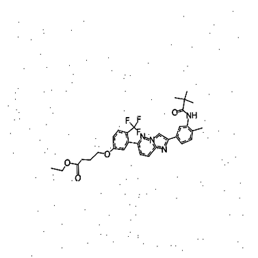 CCOC(=O)CCCOc1ccc(C(F)(F)F)c(-c2ccc3nc(-c4ccc(C)c(NC(=O)C(C)(C)C)c4)cn3n2)c1